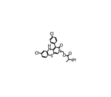 CC(C)C(C)C(=O)OCn1cc2c(c(-c3ccc(Cl)cc3)c1=O)Nc1cc(Cl)ccc1S2